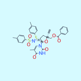 C#C[C@@]1(COC(=O)c2ccccc2)C[C@@H](/S(=N/S(=O)(=O)c2ccc(C)cc2)c2ccc(C)cc2)[C@H](n2cc(C)c(=O)[nH]c2=O)O1